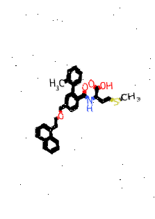 CSCCC(NC(=O)c1ccc(COCCc2cccc3ccccc23)cc1-c1ccccc1C)C(=O)O